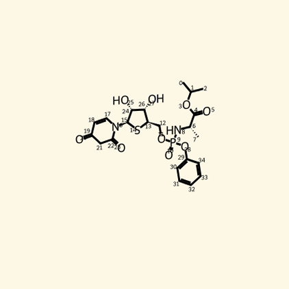 CC(C)OC(=O)[C@H](C)NP(=O)(OC[C@H]1S[C@@H](N2C=CC(=O)CC2=O)[C@H](O)[C@@H]1O)Oc1ccccc1